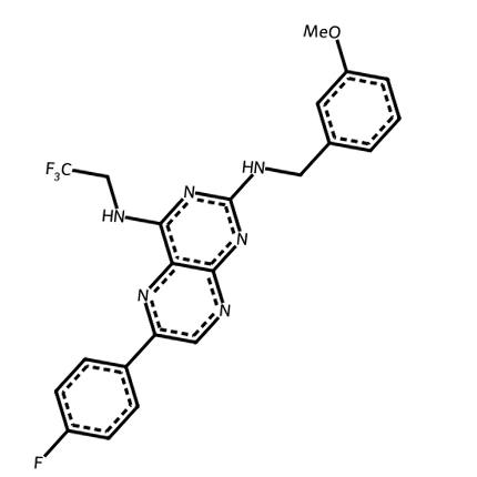 COc1cccc(CNc2nc(NCC(F)(F)F)c3nc(-c4ccc(F)cc4)cnc3n2)c1